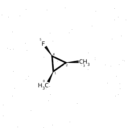 C[C@@H]1[C@H](C)[C@@H]1F